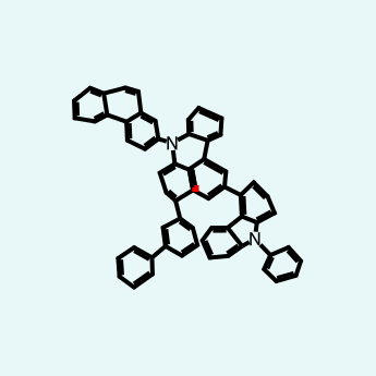 c1ccc(-c2cccc(-c3ccc(N(c4ccc5c(ccc6ccccc65)c4)c4ccccc4-c4cccc(-c5cccc6c5c5ccccc5n6-c5ccccc5)c4)cc3)c2)cc1